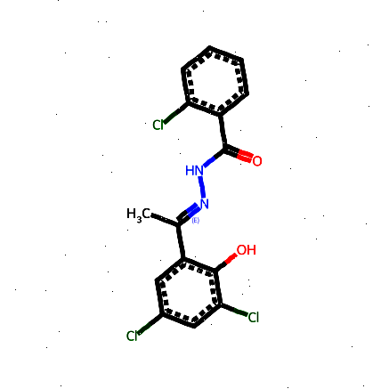 C/C(=N\NC(=O)c1ccccc1Cl)c1cc(Cl)cc(Cl)c1O